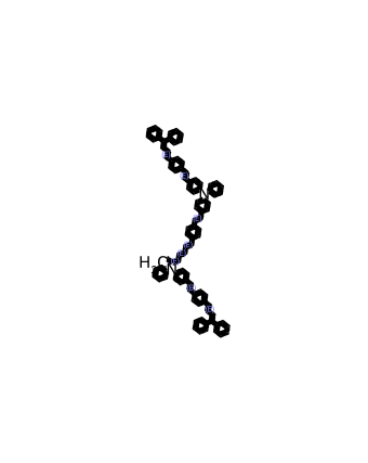 C=C\C(=C/C=C/C=C/c1ccc(/C=C/c2ccc(N(c3ccccc3)c3ccc(/C=C/c4ccc(/C=C/C=C(c5ccccc5)c5ccccc5)cc4)cc3)cc2)cc1)N(c1ccccc1)c1ccc(/C=C/c2ccc(/C=C/C=C(c3ccccc3)c3ccccc3)cc2)cc1